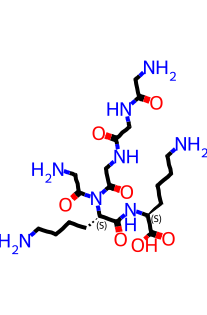 NCCCC[C@H](NC(=O)[C@H](CCCCN)N(C(=O)CN)C(=O)CNC(=O)CNC(=O)CN)C(=O)O